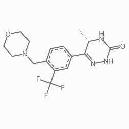 C[C@@H]1NC(=O)NN=C1c1ccc(CN2CCOCC2)c(C(F)(F)F)c1